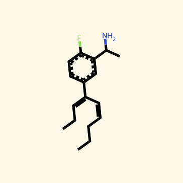 CC/C=C(\C=C/CCC)c1ccc(F)c(C(C)N)c1